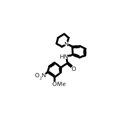 COc1cc(C(=O)Nc2ccccc2N2CCCCC2)ccc1[N+](=O)[O-]